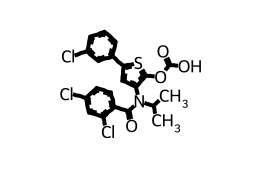 CC(C)N(C(=O)c1ccc(Cl)cc1Cl)c1cc(-c2cccc(Cl)c2)sc1OC(=O)O